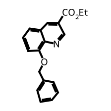 CCOC(=O)c1cnc2c(OCc3ccccc3)cccc2c1